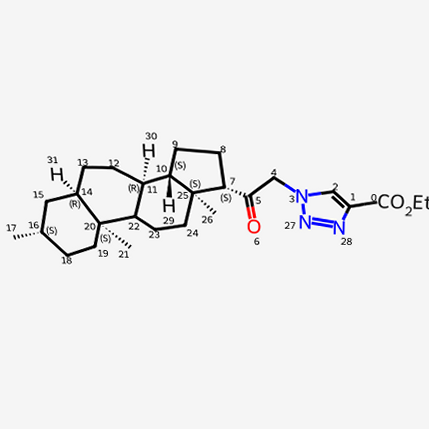 CCOC(=O)c1cn(CC(=O)[C@H]2CC[C@H]3[C@@H]4CC[C@@H]5C[C@@H](C)CC[C@]5(C)C4CC[C@]23C)nn1